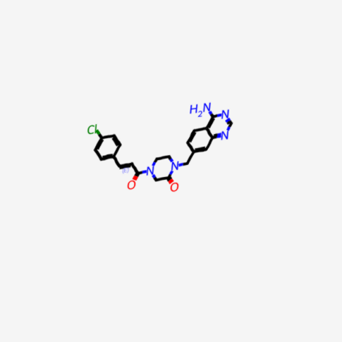 Nc1ncnc2cc(CN3CCN(C(=O)/C=C/c4ccc(Cl)cc4)CC3=O)ccc12